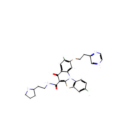 CN1CCCC1CCNC(=O)c1c(=O)c2cc(F)c(SCCc3cnccn3)cc2n2c1sc1cc(Cl)ccc12